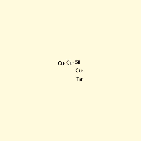 [Cu].[Cu].[Cu].[Si].[Ta]